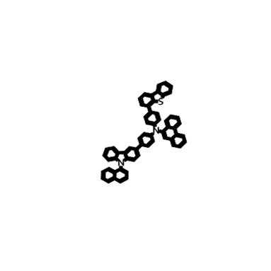 c1ccc2c(-n3c4ccccc4c4cc(-c5ccc(N(c6ccc(-c7cccc8c7sc7ccccc78)cc6)c6cc7ccccc7c7ccccc67)cc5)ccc43)cccc2c1